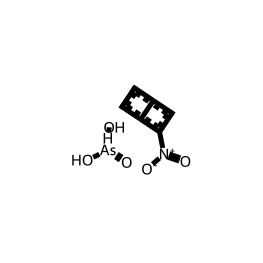 O=[AsH](O)O.O=[N+]([O-])c1cc2ccc1-2